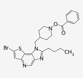 CCCCc1nc2cnc3cc(Br)sc3c2n1CC1CCN(OC(=O)c2ccccc2)CC1